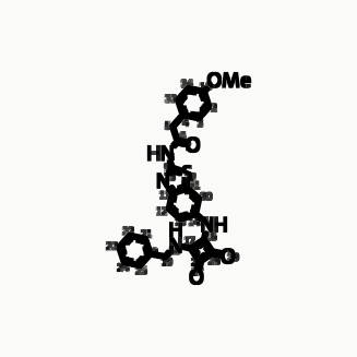 COc1ccc(CC(=O)Nc2nc3ccc(Nc4c(NCc5ccccc5)c(=O)c4=O)cc3s2)cc1